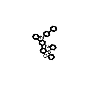 c1ccc(-c2ccc(-n3c4ccccc4c4cc5c6ccc7c8c6n(c5cc43)-c3ccccc3B8c3ccccc3O7)cc2)cc1